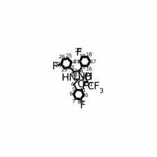 O=C(OC1(Cc2ccc(F)cc2F)NC(c2cccc(F)c2)C(c2cccc(F)c2)N1)C(F)(F)F